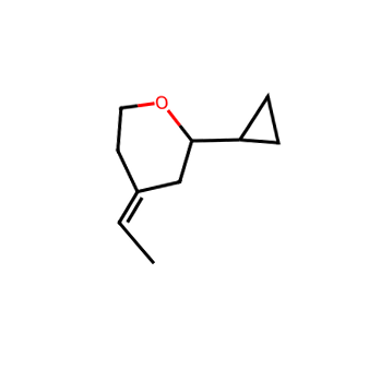 C/C=C1/CCOC(C2CC2)C1